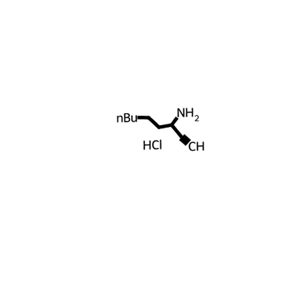 C#CC(N)CCCCCC.Cl